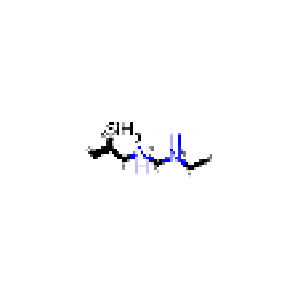 C=C([SiH3])CNCNCC